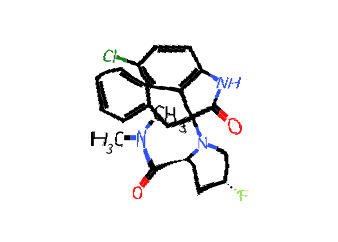 CN(C)C(=O)[C@@H]1C[C@@H](F)CN1C1(Cc2ccccc2)C(=O)Nc2ccc(Cl)cc21